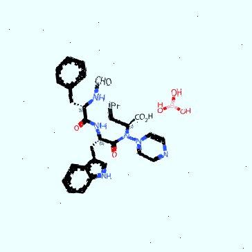 CC(C)C[C@@H](C(=O)O)N(C(=O)[C@H](Cc1c[nH]c2ccccc12)NC(=O)[C@H](Cc1ccccc1)NC=O)N1C=CN=CC1.OB(O)O